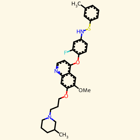 COc1cc2c(Oc3ccc(NSc4cccc(C)c4)cc3F)ccnc2cc1OCCCN1CCCC(C)C1